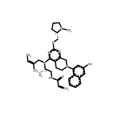 C=CC(=O)NC[C@H](C)N(C/C(C)=C\C)c1nc(OC[C@@H]2CCCN2C)nc2c1CCN(c1cc(O)cc3ccccc13)C2